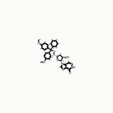 COc1ccc(C(OC[C@@H]2C[C@@H](O)[C@H](n3cnc4c(=O)[nH]ncc43)O2)(c2ccccc2)c2ccc(OC)cc2)cc1